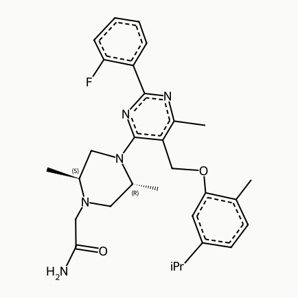 Cc1ccc(C(C)C)cc1OCc1c(C)nc(-c2ccccc2F)nc1N1C[C@H](C)N(CC(N)=O)C[C@H]1C